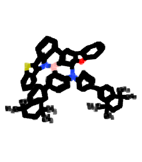 CC1(C)CCC(C)(C)c2cc(-c3ccc(N4c5ccc(-c6ccc7c(c6)C(C)(C)CCC7(C)C)cc5B5c6c(cc7c(oc8ccccc87)c64)-c4cccc6c7sc8ccccc8c7n5c46)cc3)ccc21